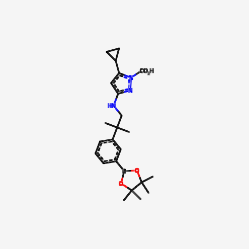 CC(C)(CNc1cc(C2CC2)n(C(=O)O)n1)c1cccc(B2OC(C)(C)C(C)(C)O2)c1